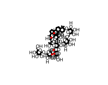 C[C@@H]1[C@@H](O)[C@@H](O[C@H]2[C@H](O)[C@@H](O[C@H]3O[C@@H](CO)[C@H](O)[C@@H](O)[C@@H]3O)[C@H](O[C@H](CC[C@@H](C)C3CC[C@@]4(C)C5CC=C6C(CC[C@H](O[C@@H]7O[C@H](CO[C@H]8O[C@H](CO)[C@@H](O)[C@H](O)[C@H]8O)[C@@H](O)[C@H](O)[C@H]7O)C6(C)C)[C@]5(C)[C@H](O)C[C@]34C)C(C)(C)O)O[C@@H]2CO[C@H]2O[C@H](CO[C@H]3O[C@H](CO)[C@@H](O)[C@H](O)[C@H]3O)[C@@H](O)[C@H](O)[C@H]2O)O[C@H](CO)[C@H]1O